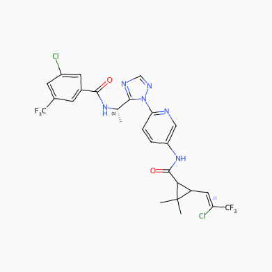 C[C@H](NC(=O)c1cc(Cl)cc(C(F)(F)F)c1)c1ncnn1-c1ccc(NC(=O)C2C(/C=C(\Cl)C(F)(F)F)C2(C)C)cn1